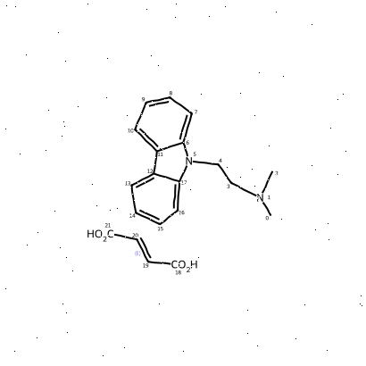 CN(C)CCn1c2ccccc2c2ccccc21.O=C(O)/C=C/C(=O)O